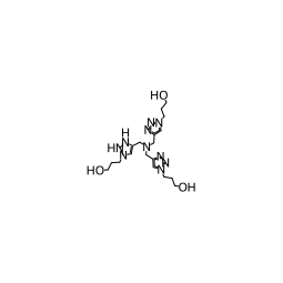 OCCCN1C=C(CN(Cc2cn(CCCO)nn2)Cc2cn(CCCO)nn2)NN1